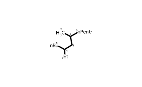 CCCC[CH]C(C)CC(CC)CCCC